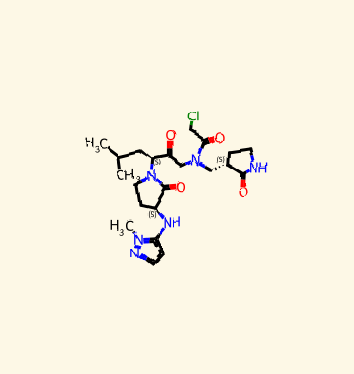 CC(C)C[C@@H](C(=O)CN(C[C@@H]1CCNC1=O)C(=O)CCl)N1CC[C@H](Nc2ccnn2C)C1=O